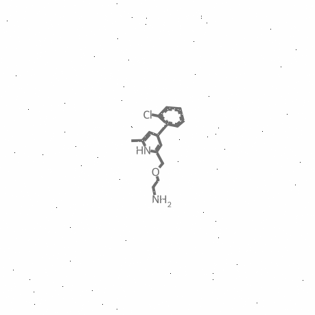 CC1=CC(c2ccccc2Cl)C=C(COCCN)N1